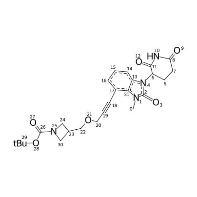 Cn1c(=O)n(C2CCC(=O)NC2=O)c2cccc(C#CCOCC3CN(C(=O)OC(C)(C)C)C3)c21